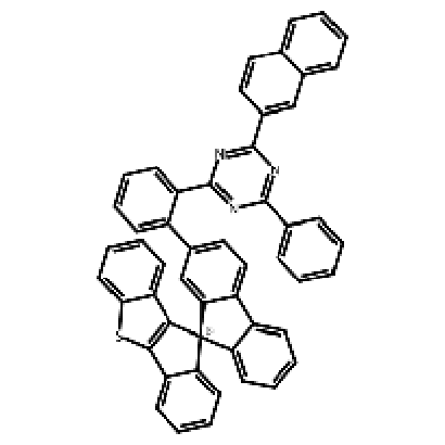 c1ccc(-c2nc(-c3ccc4ccccc4c3)nc(-c3ccccc3-c3ccc4c(c3)[C@@]3(c5ccccc5-4)c4ccccc4-c4sc5ccccc5c43)n2)cc1